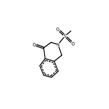 CS(=O)(=O)N1CC(=O)c2ccccc2C1